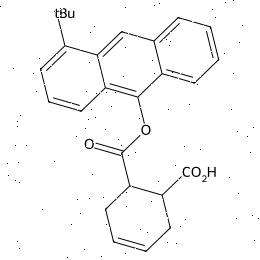 CC(C)(C)c1cccc2c(OC(=O)C3CC=CCC3C(=O)O)c3ccccc3cc12